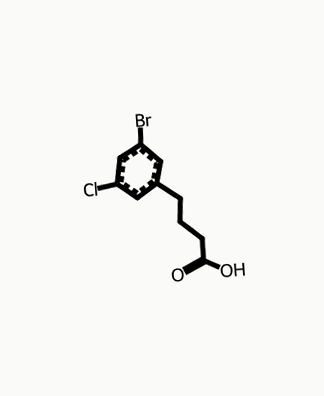 O=C(O)CCCc1cc(Cl)cc(Br)c1